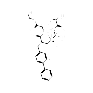 CCOC(=O)[C@H](C)NC(=O)[C@H](Cc1ccc(-c2ccccc2)cc1)CP(=O)(O)[C@H](C)NC(=O)C(C)C